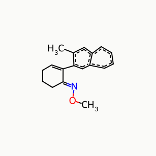 CON=C1CCCC=C1c1cc2ccccc2cc1C